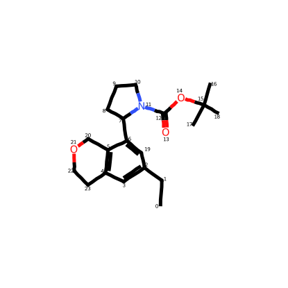 CCc1cc2c(c(C3CCCN3C(=O)OC(C)(C)C)c1)COCC2